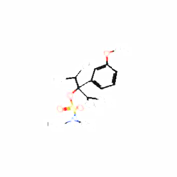 COc1cccc(C(OS(=O)(=O)N(C)C)(C(C)C)C(C)C)c1